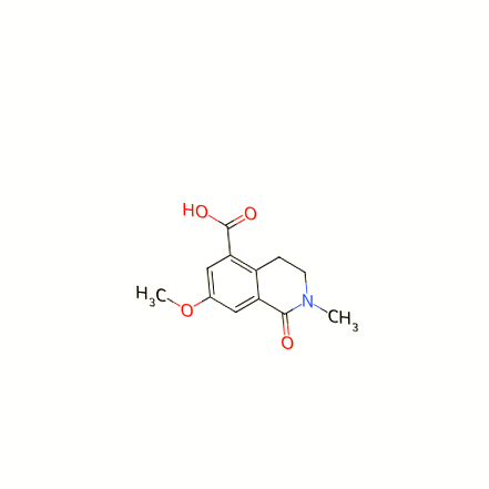 COc1cc(C(=O)O)c2c(c1)C(=O)N(C)CC2